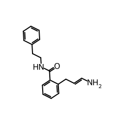 NC=CCc1ccccc1C(=O)NCCc1ccccc1